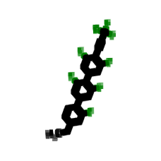 CCc1ccc(-c2cc(F)c(-c3cc(F)c(C#CC(F)(F)F)c(F)c3)c(F)c2)c(F)c1